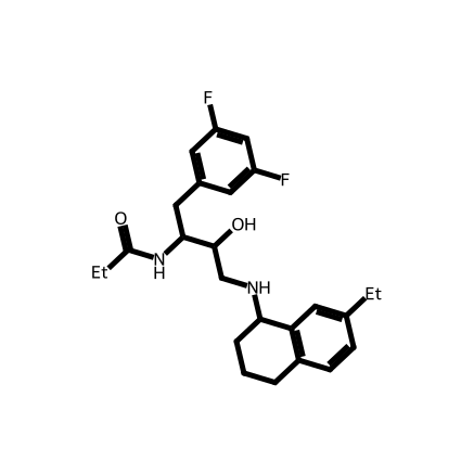 CCC(=O)NC(Cc1cc(F)cc(F)c1)C(O)CNC1CCCc2ccc(CC)cc21